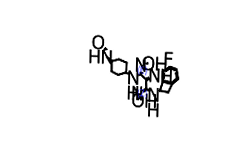 N=C(/C(=N/O)NC1Cc2ccc(F)cc21)/C(=N\O)NC1CCC(NC=O)CC1